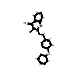 Cc1c(CCc2ccc(Oc3ccccc3)cc2)[nH]c2ccccc2c1=O